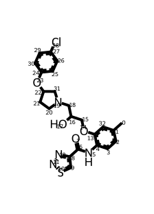 Cc1ccc(NC(=O)c2csnn2)c(OCC(O)CN2CCC(Oc3ccc(Cl)cc3)C2)c1